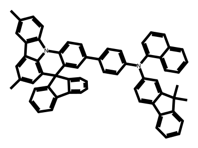 Cc1ccc2c(c1)c1cc(C)cc3c1n2-c1ccc(-c2ccc(N(c4ccc5c(c4)C(C)(C)c4ccccc4-5)c4cccc5ccccc45)cc2)cc1C31c2ccccc2-c2ccccc21